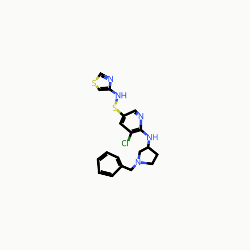 Clc1cc(SNc2cscn2)cnc1NC1CCN(Cc2ccccc2)C1